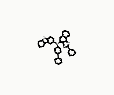 c1ccc(-c2ccc(N(c3ccc4oc5ccccc5c4c3)c3cc4ccccc4c4oc(-c5ccccc5)nc34)cc2)cc1